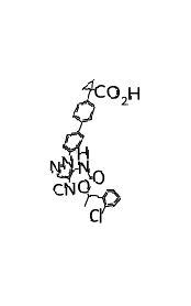 CC(OC(=O)Nc1c(C#N)cnn1-c1ccc(-c2ccc(C3(C(=O)O)CC3)cc2)cc1)c1ccccc1Cl